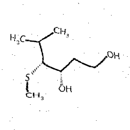 CS[C@H](C(C)C)[C@@H](O)CCO